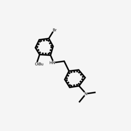 CC(C)COc1ccc(Br)cc1NCc1ccc(N(C)C)cc1